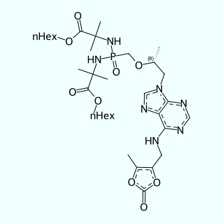 CCCCCCOC(=O)C(C)(C)NP(=O)(CO[C@H](C)Cn1cnc2c(NCc3oc(=O)oc3C)ncnc21)NC(C)(C)C(=O)OCCCCCC